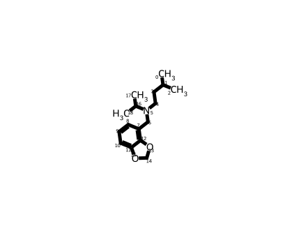 CC(C)CCN(Cc1cccc2c1OCO2)C(C)C